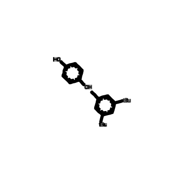 Cc1cc(C(C)(C)C)cc(C(C)(C)C)c1.Oc1ccc(O)cc1